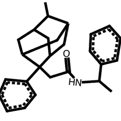 CC(NC(=O)CC1(c2ccccc2)C2CC3CC1CC(C2)C3C)c1ccccc1